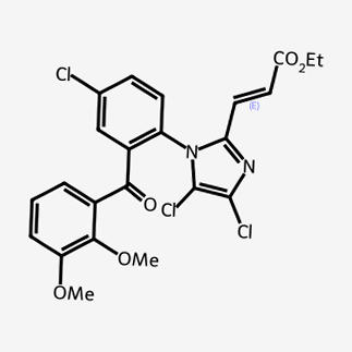 CCOC(=O)/C=C/c1nc(Cl)c(Cl)n1-c1ccc(Cl)cc1C(=O)c1cccc(OC)c1OC